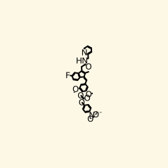 COc1cc(/C=C2/C(C)=C(CC(=O)NCc3ccccn3)c3cc(F)ccc32)cc(OC)c1OC(=O)Oc1ccc([N+](=O)[O-])cc1